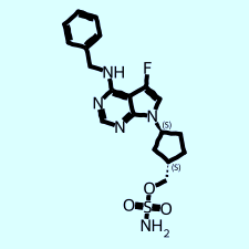 NS(=O)(=O)OC[C@H]1CC[C@H](n2cc(F)c3c(NCc4ccccc4)ncnc32)C1